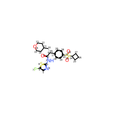 O=C(Nc1ncc(F)s1)[C@H](CC1CCOCC1)c1ccc(S(=O)(=O)C2CCC2)cc1